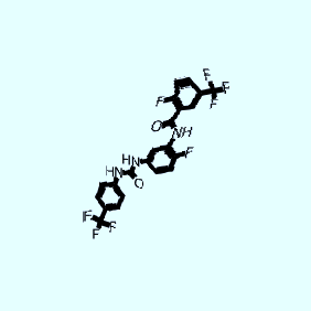 O=C(Nc1ccc(C(F)(F)F)cc1)Nc1ccc(F)c(NC(=O)c2cc(C(F)(F)F)ccc2F)c1